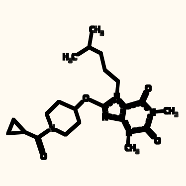 CC(C)CCCn1c(OC2CCN(C(=O)C3CC3)CC2)nc2c1c(=O)n(C)c(=O)n2C